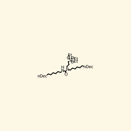 CCCCCCCCCCCCCCCCNC(=O)N(CCCCCCCCCCCCCCCC)CCC[Si](OCC)(OCC)OCC